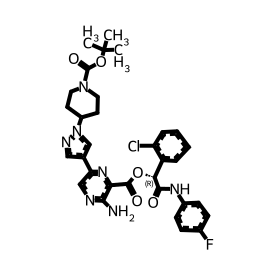 CC(C)(C)OC(=O)N1CCC(n2cc(-c3cnc(N)c(C(=O)O[C@@H](C(=O)Nc4ccc(F)cc4)c4ccccc4Cl)n3)cn2)CC1